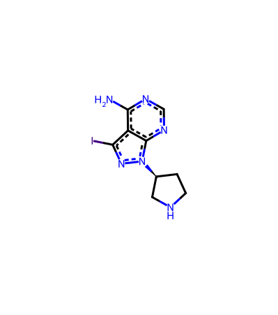 Nc1ncnc2c1c(I)nn2[C@H]1CCNC1